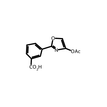 CC(=O)Oc1coc(-c2cccc(C(=O)O)c2)n1